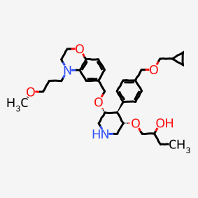 CCC(O)CO[C@@H]1CNC[C@H](OCc2ccc3c(c2)N(CCCOC)CCO3)[C@H]1c1ccc(COCC2CC2)cc1